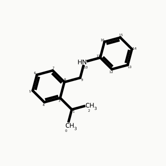 CC(C)c1ccccc1CNc1ccccc1